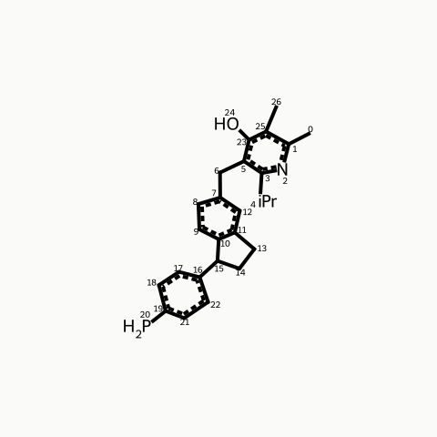 Cc1nc(C(C)C)c(Cc2ccc3c(c2)CCC3c2ccc(P)cc2)c(O)c1C